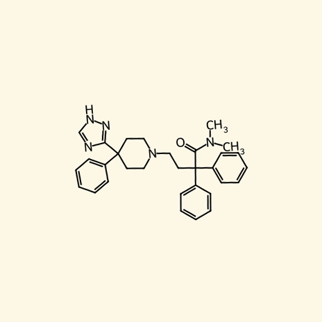 CN(C)C(=O)C(CCN1CCC(c2ccccc2)(c2nc[nH]n2)CC1)(c1ccccc1)c1ccccc1